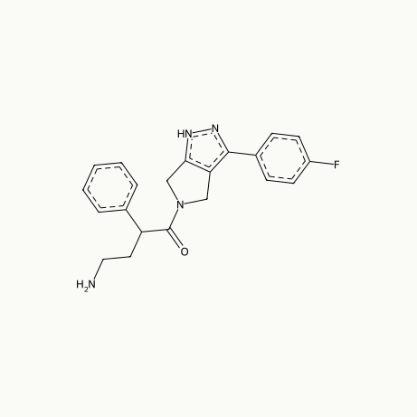 NCCC(C(=O)N1Cc2[nH]nc(-c3ccc(F)cc3)c2C1)c1ccccc1